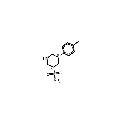 NS(=O)(=O)[C@H]1CNC[C@H](c2ccc(F)cc2)C1